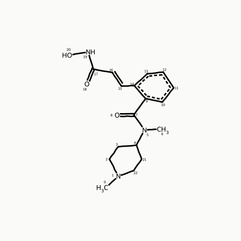 CN1CCC(N(C)C(=O)c2ccccc2C=CC(=O)NO)CC1